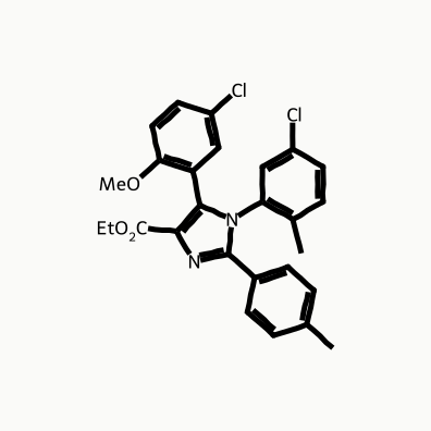 CCOC(=O)c1nc(-c2ccc(C)cc2)n(-c2cc(Cl)ccc2C)c1-c1cc(Cl)ccc1OC